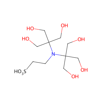 O=S(=O)(O)CCN(C(CO)(CO)CO)C(CO)(CO)CO